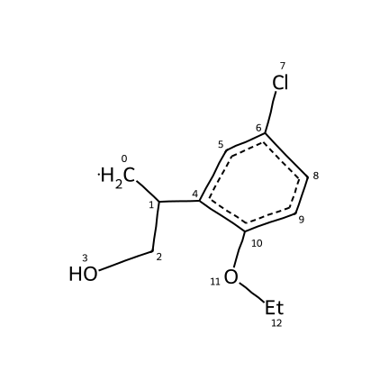 [CH2]C(CO)c1cc(Cl)ccc1OCC